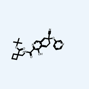 CC(C)(C)OC(=O)C1(CNC(=O)c2ncc3c(c2O)=CCC(C#N)(Oc2cccnc2)C=3)CCC1